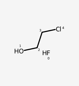 F.OCCCl